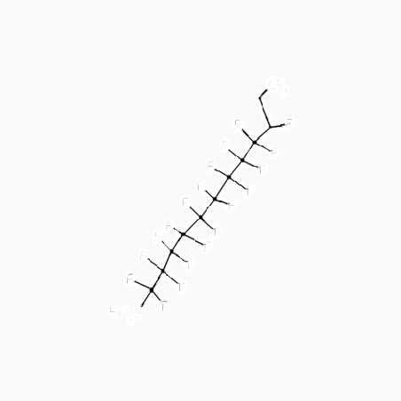 O=S(=O)(O)C(F)(F)C(F)(F)C(F)(F)C(F)(F)C(F)(F)C(F)(F)C(F)(F)C(F)(F)C(F)(F)C(F)CC(F)(F)F